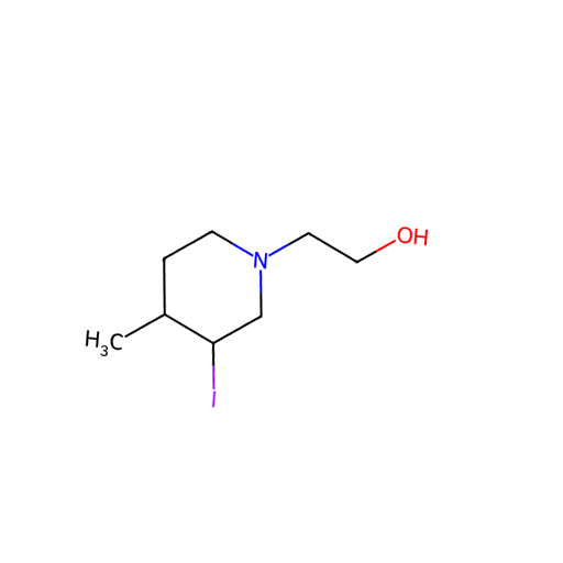 CC1CCN(CCO)CC1I